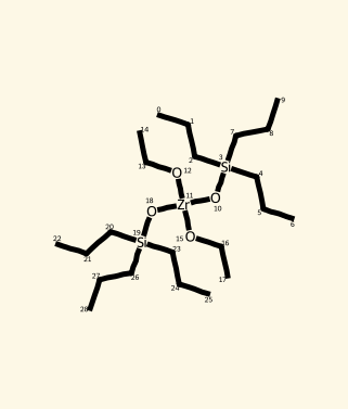 CCC[Si](CCC)(CCC)[O][Zr]([O]CC)([O]CC)[O][Si](CCC)(CCC)CCC